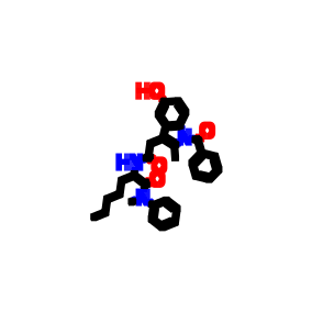 CCCCCC(NC(=O)Cc1c(C)n(C(=O)c2ccccc2)c2ccc(O)cc12)C(=O)N(C)c1ccccc1